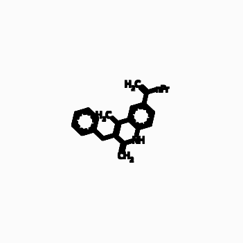 C=C1Nc2ccc(C(=C)CCC)cc2C(C)=C1Cc1ccccc1